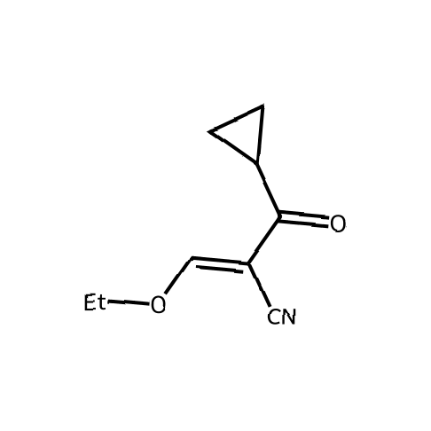 CCOC=C(C#N)C(=O)C1CC1